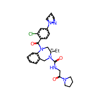 CC[C@@H]1CN(C(=O)c2ccc(-n3cccn3)cc2Cl)c2ccccc2CN1C(=O)NCC(=O)N1CCCC1